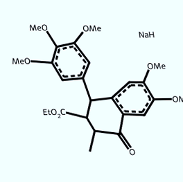 CCOC(=O)C1C(C)C(=O)c2cc(OC)c(OC)cc2C1c1cc(OC)c(OC)c(OC)c1.[NaH]